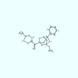 CCC12CC3CC(C(=O)N4CCC(N)CC4)(C1)CC3(c1ccccc1)C2